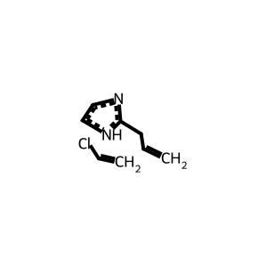 C=CCc1ncc[nH]1.C=CCl